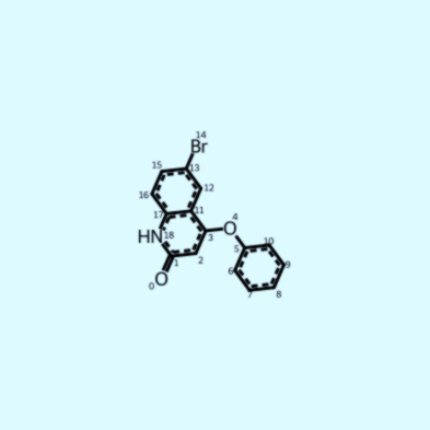 O=c1cc(Oc2ccccc2)c2cc(Br)ccc2[nH]1